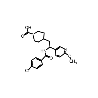 COc1ccc([C@H](CC2CCN(C(=O)O)CC2)NC(=O)c2ccc(Cl)cc2)cn1